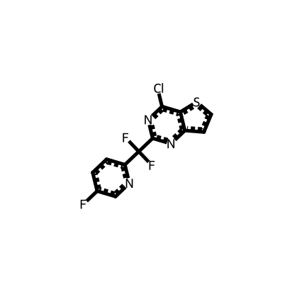 Fc1ccc(C(F)(F)c2nc(Cl)c3sccc3n2)nc1